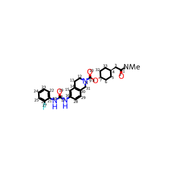 CNC(=O)C[C@H]1CC[C@H](OC(=O)N2CCc3cc(NC(=O)Nc4ccccc4F)ccc3C2)CC1